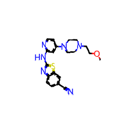 COCCN1CCN(c2ccnc(Nc3nc4ccc(C#N)cc4s3)c2)CC1